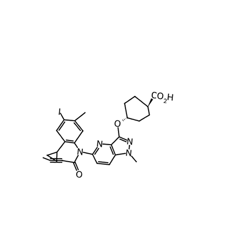 CC#CC(=O)N(c1ccc2c(n1)c(O[C@H]1CC[C@H](C(=O)O)CC1)nn2C)c1cc(C)c(I)cc1C1CC1